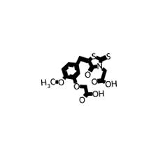 COc1ccc(C=C2SC(=S)N(CC(=O)O)C2=O)cc1OCC(=O)O